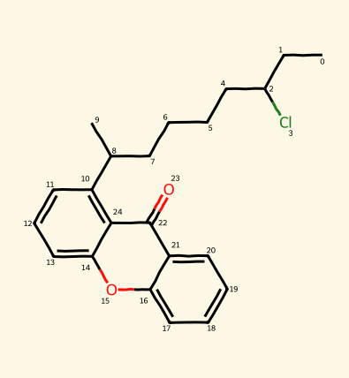 CCC(Cl)CCCCC(C)c1cccc2oc3ccccc3c(=O)c12